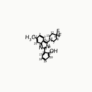 Cc1ccc2c(N3CCC(F)(F)CC3)nc(-c3ccccc3O)nc2c1